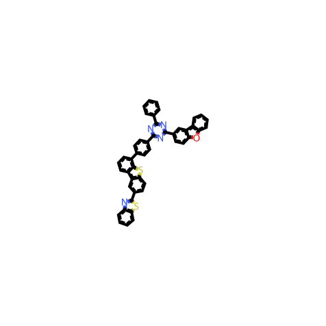 c1ccc(-c2nc(-c3ccc(-c4cccc5c4sc4ccc(-c6nc7ccccc7s6)cc45)cc3)nc(-c3ccc4oc5ccccc5c4c3)n2)cc1